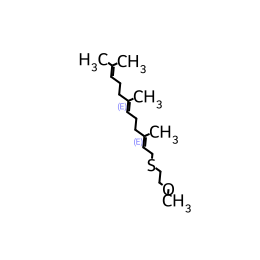 COCCSC/C=C(\C)CC/C=C(\C)CCC=C(C)C